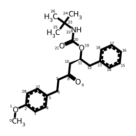 COc1ccc(CCC(=O)C[C@H](Cc2ccccc2)OC(=O)NC(C)(C)C)cc1